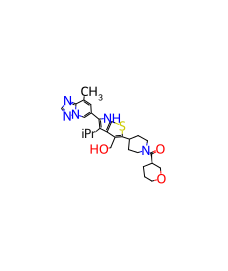 Cc1cc(-c2[nH]c3sc(C4CCN(C(=O)[C@@H]5CCCOC5)CC4)c(CO)c3c2C(C)C)cn2ncnc12